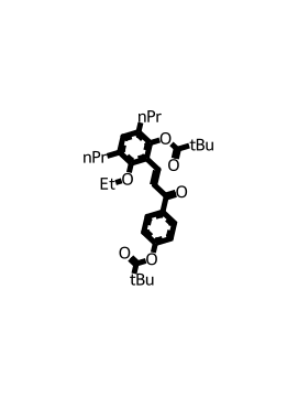 CCCc1cc(CCC)c(OC(=O)C(C)(C)C)c(C=CC(=O)c2ccc(OC(=O)C(C)(C)C)cc2)c1OCC